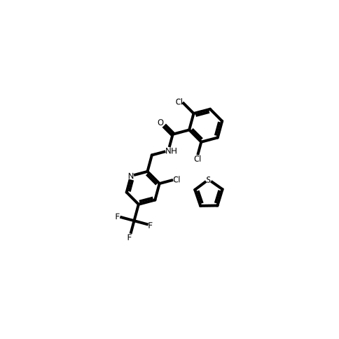 O=C(NCc1ncc(C(F)(F)F)cc1Cl)c1c(Cl)cccc1Cl.c1ccsc1